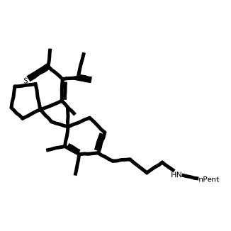 C=C(C)/C(C(C)=S)=C(\C)C1(CC2(C)CC=C(CCCCNCCCCC)C(C)=C2C)CCCC1